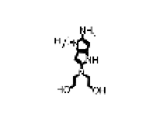 Cn1c(N)cc2[nH]c(N(CCO)CCO)cc21